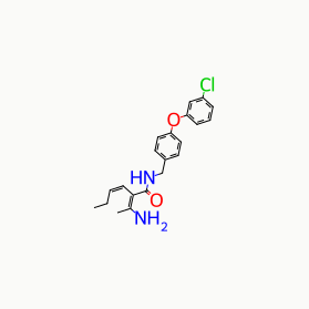 CC/C=C\C(C(=O)NCc1ccc(Oc2cccc(Cl)c2)cc1)=C(/C)N